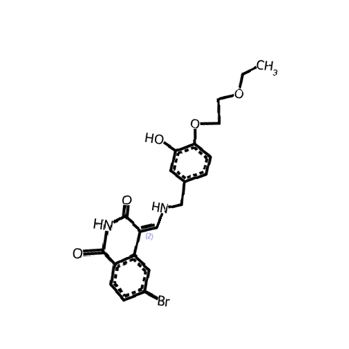 CCOCCOc1ccc(CN/C=C2\C(=O)NC(=O)c3ccc(Br)cc32)cc1O